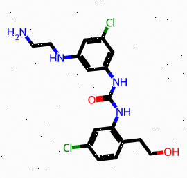 NCCNc1cc(Cl)cc(NC(=O)Nc2cc(Cl)ccc2CCO)c1